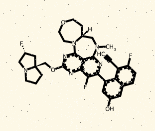 C#Cc1c(F)ccc2cc(O)cc(-c3nc4c5c(nc(OC[C@@]67CCCN6C[C@H](F)C7)nc5c3F)N3CCOCC[C@@H]3CN4C)c12